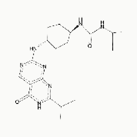 CC(C)NC(=O)N[C@H]1CC[C@H](Nc2ncc3c(=O)[nH]c(C(C)C)nc3n2)CC1